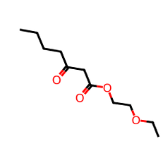 CCCCC(=O)CC(=O)OCCOCC